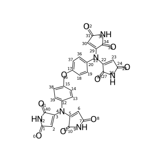 O=C1C=C(N(C2=CC(=O)NC2=O)c2ccc(Oc3ccc(N(C4=CC(=O)NC4=O)C4=CC(=O)NC4=O)cc3)cc2)C(=O)N1